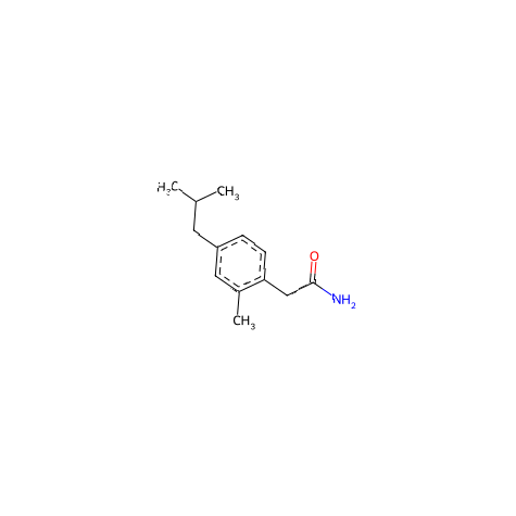 Cc1cc(CC(C)C)ccc1CC(N)=O